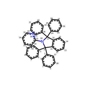 c1ccc(C2(c3ccccc3)c3ccccc3C(c3ccccc3)(c3ccccc3)N2c2ccccn2)cc1